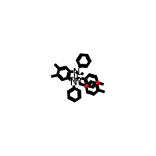 Cc1ccc(C[SH]2(C)(c3ccc(C)cc3)N(c3ccccc3)c3cc(C)c(C)cc3N2c2ccccc2)cc1